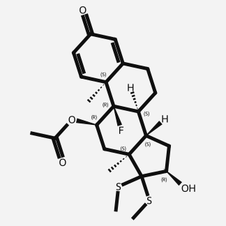 CSC1(SC)[C@H](O)C[C@H]2[C@@H]3CCC4=CC(=O)C=C[C@]4(C)[C@@]3(F)[C@H](OC(C)=O)C[C@@]21C